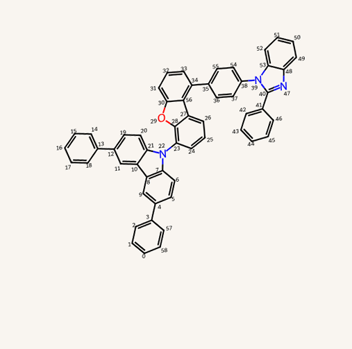 c1ccc(-c2ccc3c(c2)c2cc(-c4ccccc4)ccc2n3-c2cccc3c2oc2cccc(-c4ccc(-n5c(-c6ccccc6)nc6ccccc65)cc4)c23)cc1